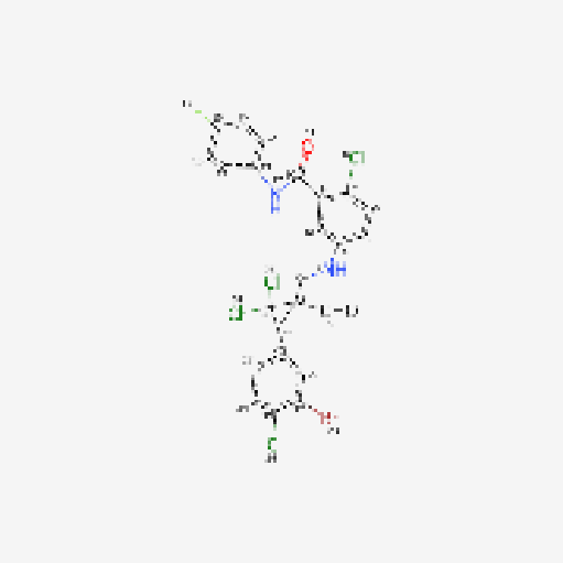 O=CC1(CNc2ccc(Cl)c(C(=O)Nc3ccc(F)cc3)c2)C(c2ccc(Cl)c(Br)c2)C1(Cl)Cl